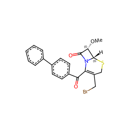 CO[C@H]1C(=O)N2C(C(=O)c3ccc(-c4ccccc4)cc3)=C(CBr)CS[C@@H]12